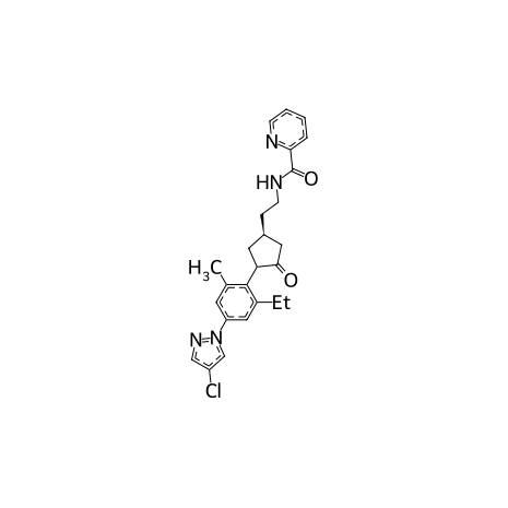 CCc1cc(-n2cc(Cl)cn2)cc(C)c1C1C[C@@H](CCNC(=O)c2ccccn2)CC1=O